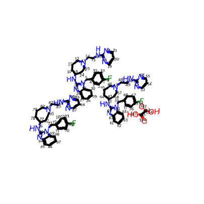 Fc1ccc(Cn2c(NC3CCCN(CCNc4ncccn4)CC3)nc3ccccc32)cc1.Fc1ccc(Cn2c(NC3CCCN(CCNc4ncccn4)CC3)nc3ccccc32)cc1.Fc1ccc(Cn2c(NC3CCCN(CCNc4ncccn4)CC3)nc3ccccc32)cc1.O=C(O)C(=O)O